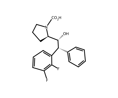 O=C(O)N1CCC[C@@H]1[C@H](O)[C@H](c1ccccc1)c1cccc(F)c1F